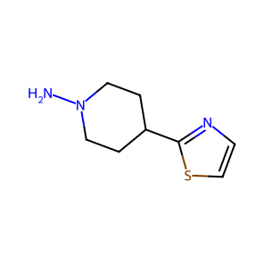 NN1CCC(c2nccs2)CC1